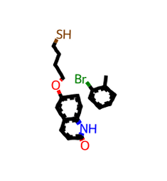 Cc1ccccc1Br.O=c1ccc2cc(OCCCCS)ccc2[nH]1